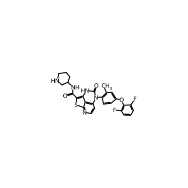 Cc1cc(Oc2c(F)cccc2F)ccc1N1C(=O)Nc2c(C(=O)NC3CCCNC3)sc3nccc1c23